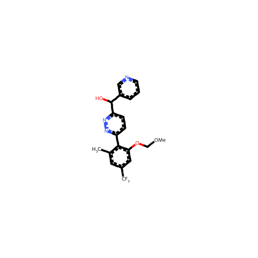 COCOc1cc(C(F)(F)F)cc(C)c1-c1ccc(C(O)c2cccnc2)nn1